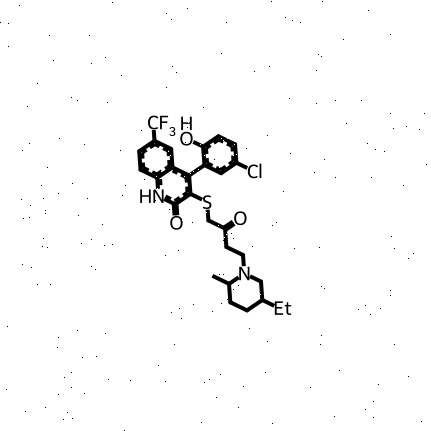 CCC1CCC(C)N(CCC(=O)CSc2c(-c3cc(Cl)ccc3O)c3cc(C(F)(F)F)ccc3[nH]c2=O)C1